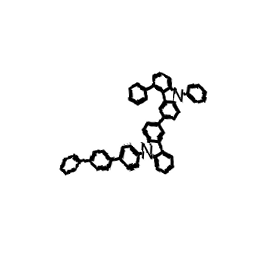 c1ccc(-c2ccc(-c3ccc(-n4c5ccccc5c5cc(-c6ccc7c(c6)c6c(-c8ccccc8)cccc6n7-c6ccccc6)ccc54)cc3)cc2)cc1